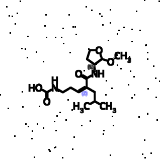 COC1OCC[C@@H]1NC(=O)/C(=C\CCNC(=O)O)CC(C)C